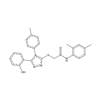 Cc1ccc(-n2c(SCC(=O)Nc3ccc(C)cc3C)nnc2-c2ccccc2O)cc1